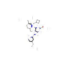 CCCc1ccnc(-c2nc3nc(C(=O)O)nc(N[C@H](C)C4CCC4)c3n2CC2CC=C(CC)CC2)c1